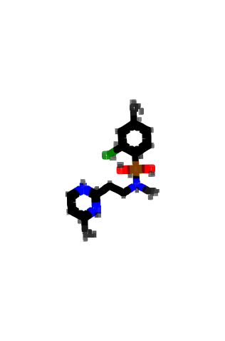 CC(C)N(CCc1nccc(C(C)(C)C)n1)S(=O)(=O)c1ccc(C(F)(F)F)cc1Cl